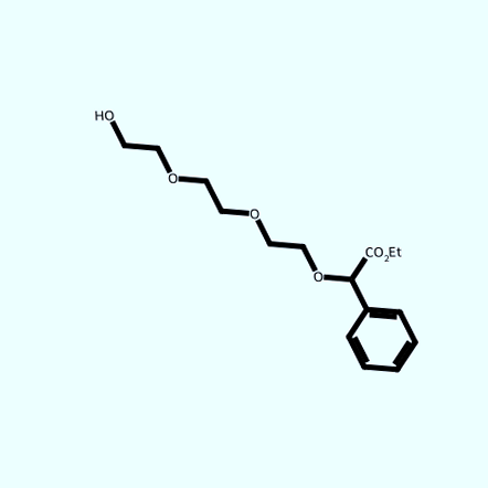 CCOC(=O)C(OCCOCCOCCO)c1ccccc1